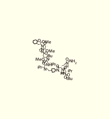 CC[C@H](C)[C@@H]([C@@H](CC(=O)N1CCC[C@H]1[C@H](OC)[C@@H](C)C(=O)N[C@@H](Cc1ccccc1)C(=O)OC)OC)N(C)C(=O)[C@H](CC(C)C)NC(=O)[C@H](C(C)C)N(C)CCc1ccc(N(C)C(=O)[C@H](CCCNC(N)=O)NC(=O)[C@@H](NC(=O)OC(C)(C)C)C(C)C)cc1